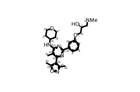 CNC[C@H](O)COc1cccc(-c2nc(NC3CCOCC3)c(C)c(-c3c(C)noc3C)n2)c1